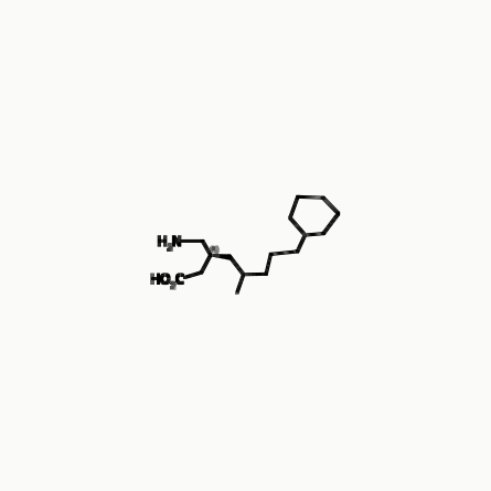 CC(CCCC1CCCCC1)C[C@H](CN)CC(=O)O